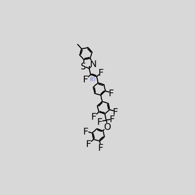 Cc1ccc2nc(/C(F)=C(\F)c3ccc(-c4cc(F)c(C(F)(F)Oc5cc(F)c(F)c(F)c5)c(F)c4)c(F)c3)sc2c1